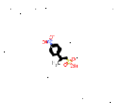 CC(CS(=O)(=O)O)c1ccc([N+](=O)[O-])cc1